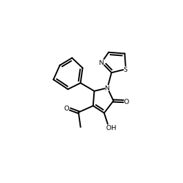 CC(=O)C1=C(O)C(=O)N(c2nccs2)C1c1ccccc1